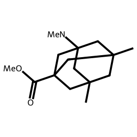 CNC12CC3(C)CC(C)(C1)CC(C(=O)OC)(C3)C2